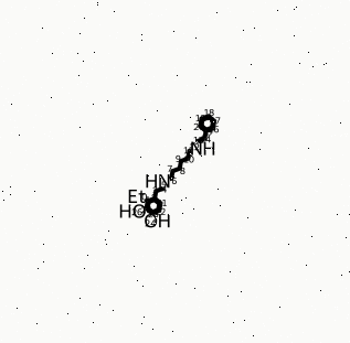 CCc1c(CCNCCCCCCNCCc2ccccc2)ccc(O)c1O